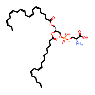 CC/C=C\C/C=C\C/C=C\C/C=C\C/C=C\CCCC(=O)OC[C@H](COP(=O)(O)OC[C@H](N)C(=O)O)OC(=O)CCCCCCC/C=C\C/C=C\CCCC